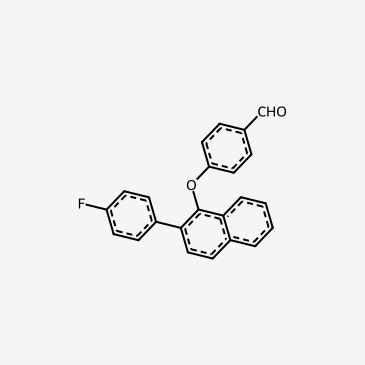 O=Cc1ccc(Oc2c(-c3ccc(F)cc3)ccc3ccccc23)cc1